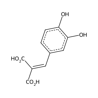 O=C(O)C(=Cc1ccc(O)c(O)c1)C(=O)O